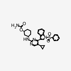 NC(=O)O[C@H]1CCC[C@@H](Nc2ncc(C3CC3)c(-c3cn(S(=O)(=O)c4ccccc4)c4ccccc34)n2)C1